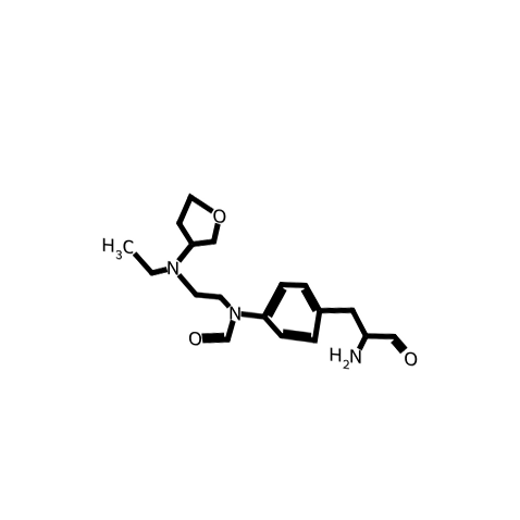 CCN(CCN(C=O)c1ccc(CC(N)C=O)cc1)C1CCOC1